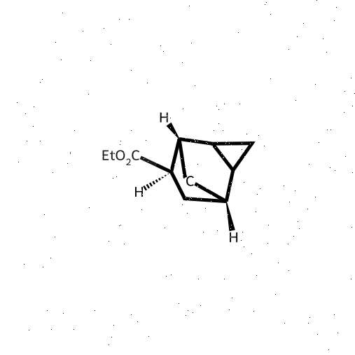 CCOC(=O)[C@@H]1C[C@@H]2CC[C@H]1C1CC12